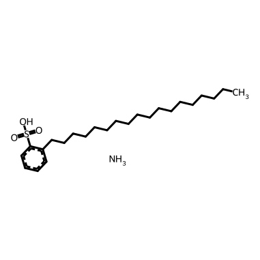 CCCCCCCCCCCCCCCCCCc1ccccc1S(=O)(=O)O.N